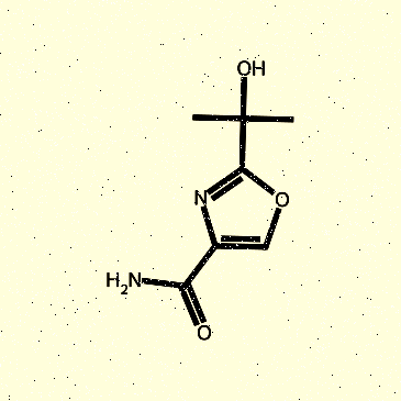 CC(C)(O)c1nc(C(N)=O)co1